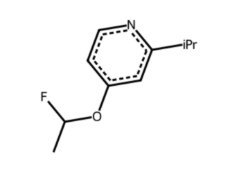 CC(F)Oc1ccnc(C(C)C)c1